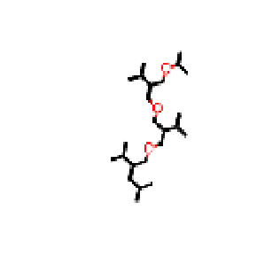 CC(C)CC(COCC(COCC(COC(C)C)C(C)C)C(C)C)C(C)C